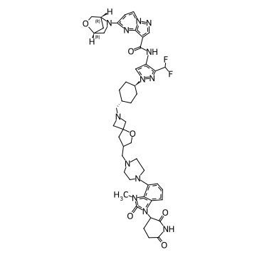 Cn1c(=O)n(C2CCC(=O)NC2=O)c2cccc(N3CCN(CC4COC5(C4)CN(C[C@H]4CC[C@H](n6cc(NC(=O)c7cnn8ccc(N9C[C@H]%10C[C@@H]9CO%10)nc78)c(C(F)F)n6)CC4)C5)CC3)c21